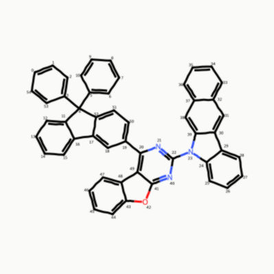 c1ccc(C2(c3ccccc3)c3ccccc3-c3cc(-c4nc(-n5c6ccccc6c6cc7ccccc7cc65)nc5oc6ccccc6c45)ccc32)cc1